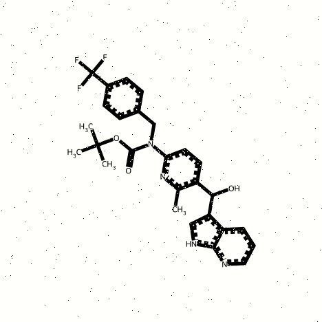 Cc1nc(N(Cc2ccc(C(F)(F)F)cc2)C(=O)OC(C)(C)C)ccc1C(O)c1c[nH]c2ncccc12